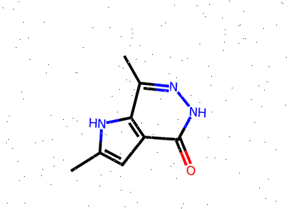 Cc1cc2c(=O)[nH]nc(C)c2[nH]1